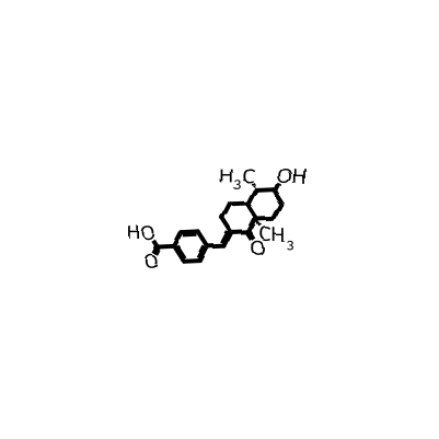 C[C@@H]1C(O)CC[C@]2(C)C(=O)C(=Cc3ccc(C(=O)O)cc3)CCC12